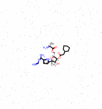 CC(C)(C)[C@@H](N)C(=O)OC[C@H]1O[C@@](C)(c2ccc(/C(N)=N\C=N)[nH]2)[C@H](O)[C@@H]1OC(=O)CC1CCCCC1